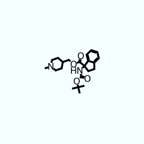 CN1CCC(COC(=O)C2(NC(=O)OC(C)(C)C)CCc3ccccc32)CC1